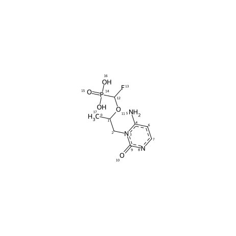 CC(Cn1c(N)ccnc1=O)OC(F)P(=O)(O)O